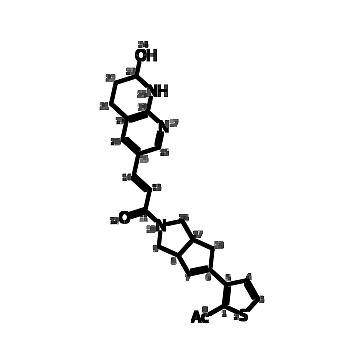 CC(=O)c1sccc1C1=CC2CN(C(=O)/C=C/c3cnc4c(c3)CCC(O)N4)CC2C1